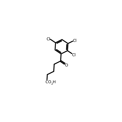 O=C(O)CCCC(=O)c1cc(Cl)cc(Cl)c1Cl